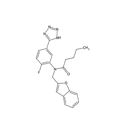 CCCCC(=O)N(Cc1cc2ccccc2o1)c1cc(-c2nnn[nH]2)ccc1F